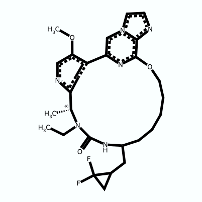 CCN1C(=O)NC(CC2CC2(F)F)CCCCCOc2nc(cn3ccnc23)-c2cc(ncc2OC)[C@H]1C